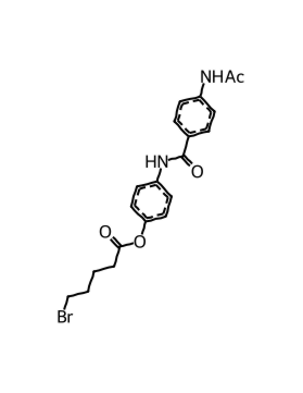 CC(=O)Nc1ccc(C(=O)Nc2ccc(OC(=O)CCCCBr)cc2)cc1